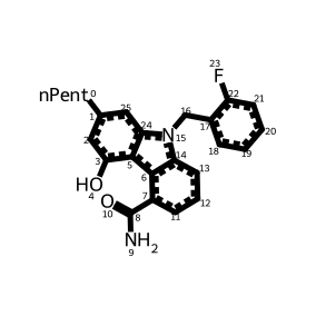 CCCCCc1cc(O)c2c3c(C(N)=O)cccc3n(Cc3ccccc3F)c2c1